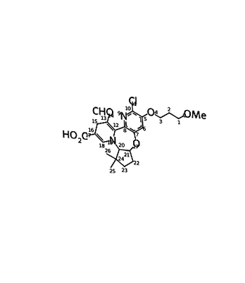 COCCCOc1cc2c(nc1Cl)C1=C(C=O)CC(C(=O)O)=CN1C1C(CCC1(C)C)O2